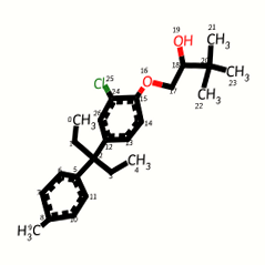 CCC(CC)(c1ccc(C)cc1)c1ccc(OCC(O)C(C)(C)C)c(Cl)c1